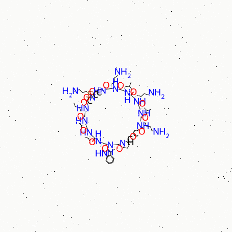 CCCC[C@@H]1NC(=O)CN(S(=O)(=O)CCCN)CCNC(=O)[C@H](CCCCN)NC(=O)[C@H](CC(C)C)NC(=O)[C@H](CCCCN)NC(=O)[C@H](CC(C)C)NC(=O)[C@H](CCCCN)NC(=O)COC[C@H]2CCCN2C(=O)[C@H](Cc2c[nH]c3ccccc23)NC(=O)[C@H](C)NC(=O)[C@H](C(C)C)NC(=O)[C@H](C(C)C)NC1=O